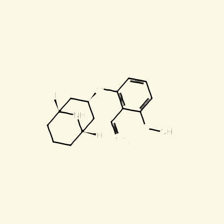 C=Cc1c(O[C@@H]2C[C@H]3CCC[C@@H](C2)N3)cccc1SN